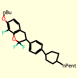 CCCCCC1CCC(c2ccc(C3Cc4ccc(OCCCC)c(F)c4OC3(F)F)cc2)CC1